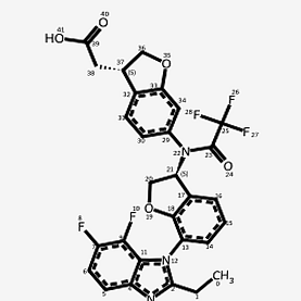 CCc1nc2ccc(F)c(F)c2n1-c1cccc2c1OC[C@H]2N(C(=O)C(F)(F)F)c1ccc2c(c1)OC[C@H]2CC(=O)O